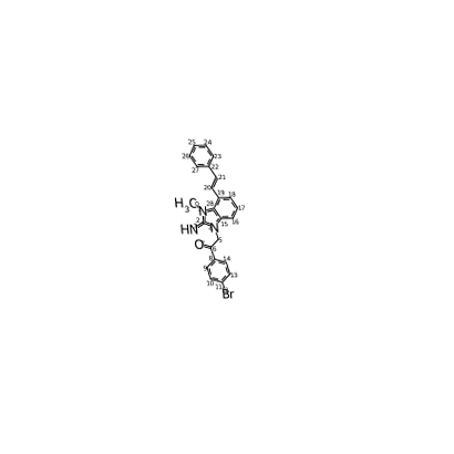 Cn1c(=N)n(CC(=O)c2ccc(Br)cc2)c2cccc(/C=C/c3ccccc3)c21